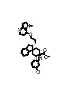 COC(=O)C1(Nc2cccc(Cl)c2)CCC2(CC1)c1ccccc1C[C@@H]2C[C@@H](C)COc1ccnc2ccn(C)c12